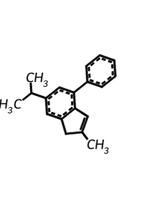 CC1=Cc2c(cc(C(C)C)cc2-c2ccccc2)C1